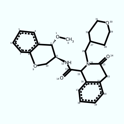 CO[C@H]1c2ccccc2OC[C@@H]1NC(=O)C1c2ccccc2CC(=O)N1CC1CCOCC1